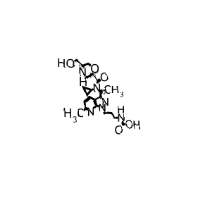 Cc1ccc2c([C@@H](C)N(C(=O)[C@H]3CN[C@@H](CO)CO3)C3CC3)nn(CCCNC(=O)O)c2n1